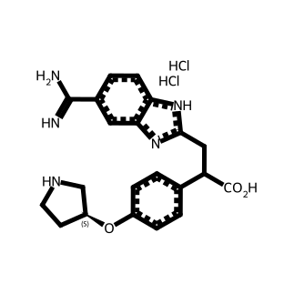 Cl.Cl.N=C(N)c1ccc2[nH]c(CC(C(=O)O)c3ccc(O[C@H]4CCNC4)cc3)nc2c1